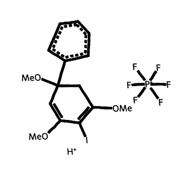 COC1=CC(OC)(c2ccccc2)CC(OC)=C1I.F[P-](F)(F)(F)(F)F.[H+]